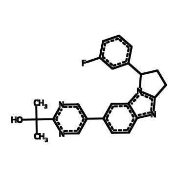 CC(C)(O)c1ncc(-c2ccc3nc4n(c3c2)C(c2cccc(F)c2)CC4)cn1